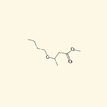 CCCCOC(C)CC(=O)OC